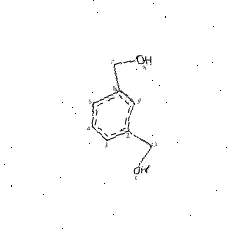 O[CH]c1cccc(CO)c1